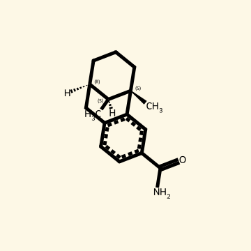 C[C@H]1[C@@H]2CCC[C@]1(C)c1cc(C(N)=O)ccc1C2